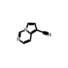 N#Cc1ccn2cnccc12